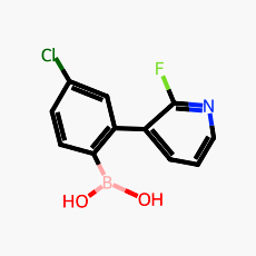 OB(O)c1ccc(Cl)cc1-c1cccnc1F